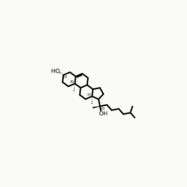 CC(C)CCCC[C@](C)(O)C1CCC2C3CC=C4C[C@@H](O)CC[C@]4(C)C3CC[C@@]21C